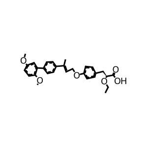 CCO[C@@H](Cc1ccc(OC/C=C(\C)c2ccc(-c3cc(OC)ccc3OC)cc2)cc1)C(=O)O